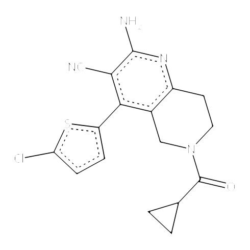 N#Cc1c(N)nc2c(c1-c1ccc(Cl)s1)CN(C(=O)C1CC1)CC2